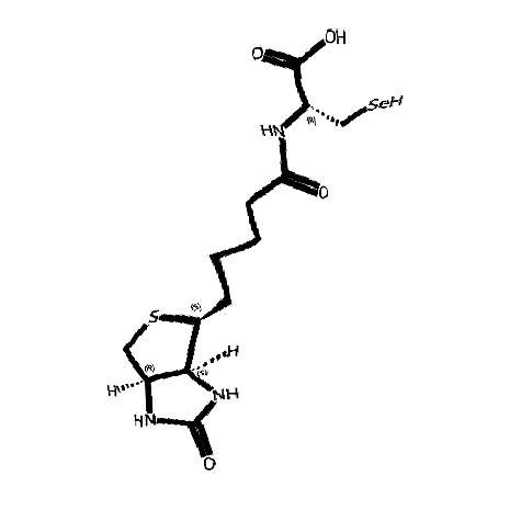 O=C(CCCC[C@@H]1SC[C@@H]2NC(=O)N[C@@H]21)N[C@@H](C[SeH])C(=O)O